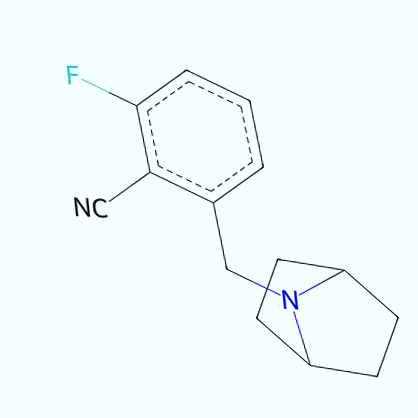 N#Cc1c(F)cccc1CN1C2CCC1CC2